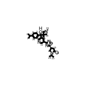 CC(C)c1ccc(C(O)(c2cncc(-c3noc([C@H]4CC(=O)N(C(C)C)C4)n3)c2)C2(C)CN(C)C2)cc1